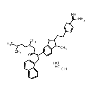 CN(C)CCN(C)CC(=O)N(Cc1cccc2ccccc12)c1ccc2c(c1)nc(CCc1ccc(C(=N)N)cc1)n2C.Cl.Cl.Cl